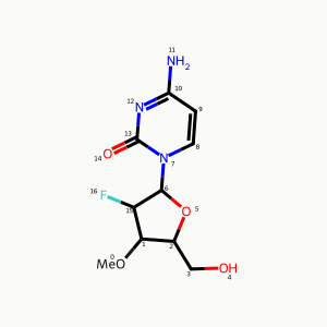 COC1C(CO)OC(n2ccc(N)nc2=O)C1F